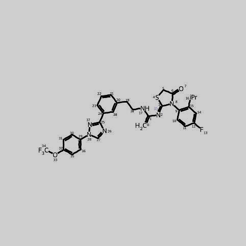 C=C(/N=C1\SCC(=O)N1c1ccc(F)cc1C(C)C)NCCc1cccc(-c2ncn(-c3ccc(OC(F)(F)F)cc3)n2)c1